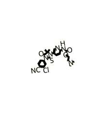 CN(C)CCOC(=O)Nc1ccc(N2C(=S)N(c3ccc(C#N)c(Cl)c3)C(=O)C2(C)C)cn1